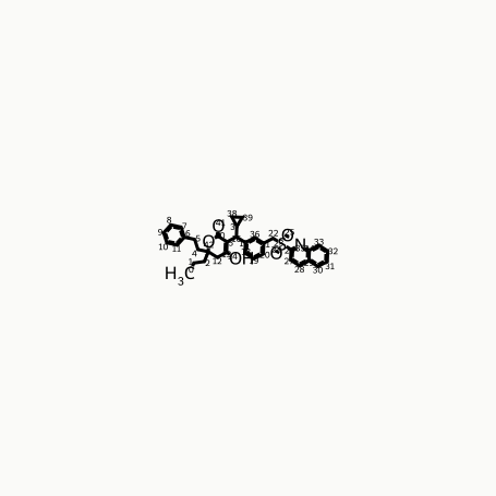 CCCC1(CCc2ccccc2)CC(O)=C(C(c2cccc(CS(=O)(=O)c3ccc4ccccc4n3)c2)C2CC2)C(=O)O1